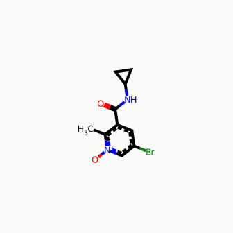 Cc1c(C(=O)NC2CC2)cc(Br)c[n+]1[O-]